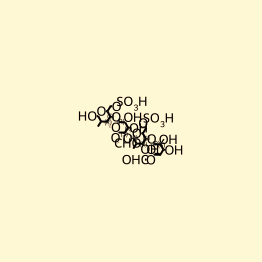 CC1C(O)OC(COS(=O)(=O)O)[C@@H](O[C@@H]2OC(OC=O)[C@@H](O[C@@H]3OC(COS(=O)(=O)O)[C@@H](O[C@@H]4OC(OC=O)=CC(O)[C@@H]4O)[C@H](O)C3C)[C@H](O)C2O)[C@@H]1C